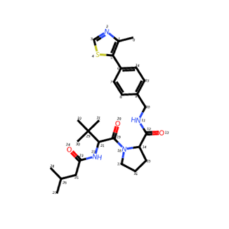 Cc1ncsc1-c1ccc(CNC(=O)C2CCCN2C(=O)C(NC(=O)CC(C)C)C(C)(C)C)cc1